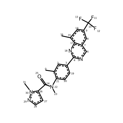 Cc1cc(-c2ncc3cc(C(F)(F)F)cc(C)c3n2)ccc1N(C)C(=O)c1ccnn1C